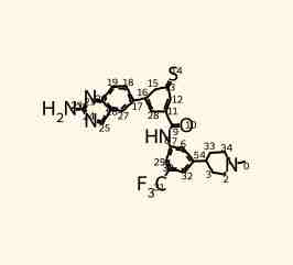 CN1CCC(c2cc(NC(=O)C3=CC(=S)CC(c4ccc5nc(N)ncc5c4)=C3)cc(C(F)(F)F)c2)CC1